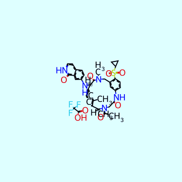 CC(=O)N1CC(=O)Nc2ccc(S(=O)(=O)C3CC3)c(c2)CN(C)C(=O)[C@H](Nc2ccc3cc[nH]c(=O)c3c2)c2ccc(c(C)c2)[C@H]1C.O=C(O)C(F)(F)F